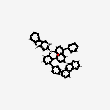 c1ccc(-c2ccc(N(c3cc4oc5ccccc5c4cn3)c3cccc(-c4ccccc4)c3-c3cccc(-n4c5ccccc5c5ccccc54)c3)cc2)cc1